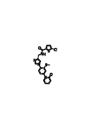 CSc1cc(-n2ccccc2=O)ccc1-n1cnc(CNC(=O)c2ccc(Cl)s2)c1